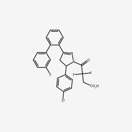 O=C(O)CC(F)(F)C(=O)N1N=C(c2ccccc2-c2cccc(F)c2)CC1c1ccc(Cl)cc1